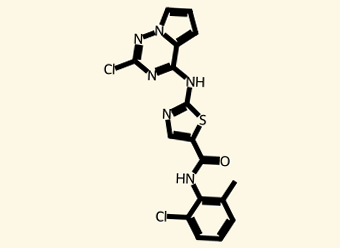 Cc1cccc(Cl)c1NC(=O)c1cnc(Nc2nc(Cl)nn3cccc23)s1